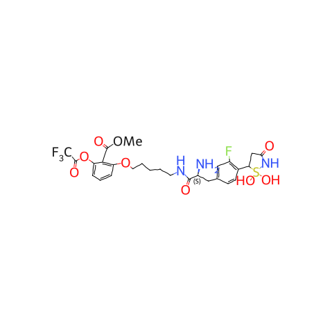 COC(=O)c1c(OCCCCCNC(=O)[C@@H](N)Cc2ccc(C3CC(=O)NS3(O)O)c(F)c2)cccc1OC(=O)C(F)(F)F